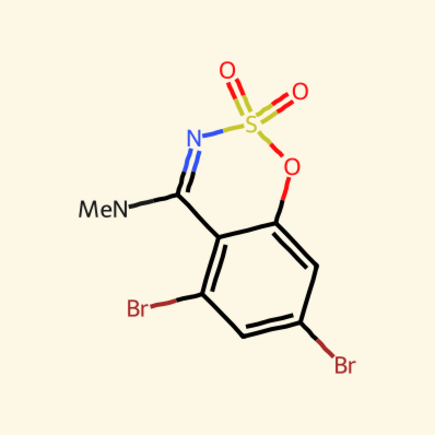 CNC1=NS(=O)(=O)Oc2cc(Br)cc(Br)c21